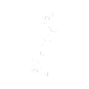 Cc1cc2c(CN3CCC4(CC3)COc3c4ccc4c3CN(C3CCC(=O)NC3=O)C4=O)cccc2[nH]1